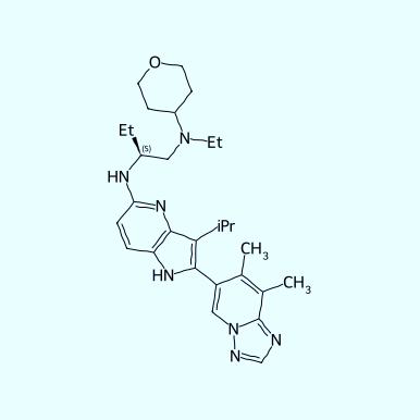 CC[C@@H](CN(CC)C1CCOCC1)Nc1ccc2[nH]c(-c3cn4ncnc4c(C)c3C)c(C(C)C)c2n1